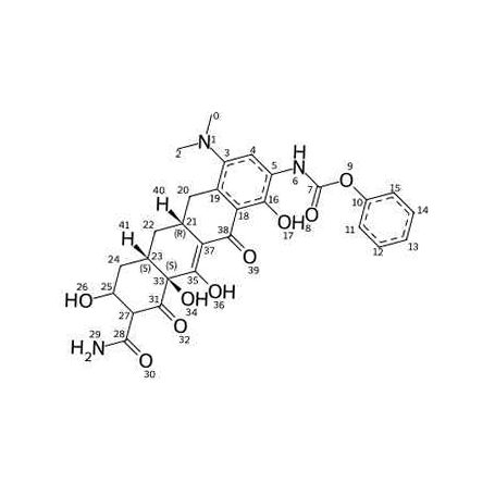 CN(C)c1cc(NC(=O)Oc2ccccc2)c(O)c2c1C[C@H]1C[C@H]3CC(O)C(C(N)=O)C(=O)[C@@]3(O)C(O)=C1C2=O